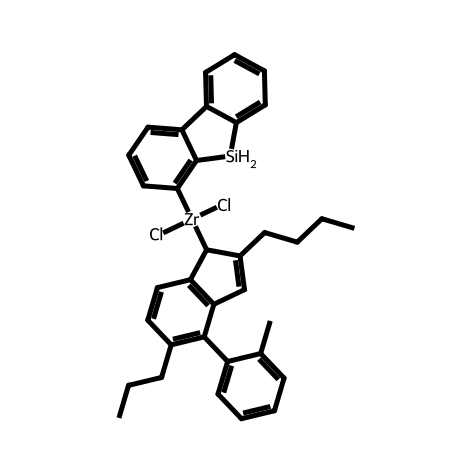 CCCCC1=Cc2c(ccc(CCC)c2-c2ccccc2C)[CH]1[Zr]([Cl])([Cl])[c]1cccc2c1[SiH2]c1ccccc1-2